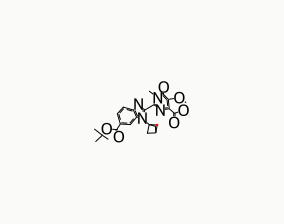 COC(=O)c1nc(-c2nc3ccc(C(=O)OC(C)(C)C)cc3n2C23CC(C2)C3)n(C)c(=O)c1OC